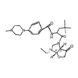 CC[C@@H]1CN(C(=O)C(CC(C)(C)C)NC(=O)c2ccc(N3CCN(C)CC3)cc2)[C@@H]2C(=O)CO[C@H]12